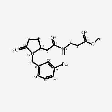 COC(=O)CCNC(=O)CC1CCC(=O)N1Cc1cccc(F)c1